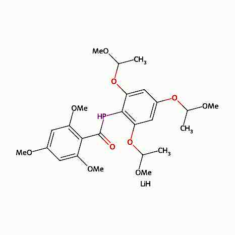 COc1cc(OC)c(C(=O)Pc2c(OC(C)OC)cc(OC(C)OC)cc2OC(C)OC)c(OC)c1.[LiH]